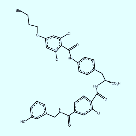 CC(C)(C)CCCOc1cc(Cl)c(C(=O)Nc2ccc(C[C@H](NC(=O)c3ccc(C(=O)NCc4cccc(O)c4)cc3Cl)C(=O)O)cc2)c(Cl)c1